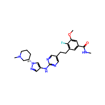 CNC(=O)c1cc(CCc2cnc(Nc3cnn([C@H]4CCCN(C)C4)c3)nc2)c(F)c(OC)c1